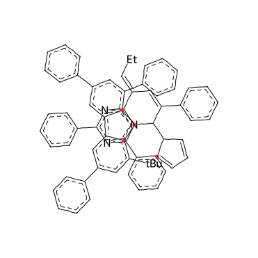 CC/C=C(\C=C(\c1ccccc1)C(C1C=CC=C1)n1c2c(-c3ccccc3)cc(-c3ccccc3)cc2c2cc(-c3ccccc3)cc(C(C)(C)C)c21)c1cc(-c2ccccc2)nc(-c2ccccc2)n1